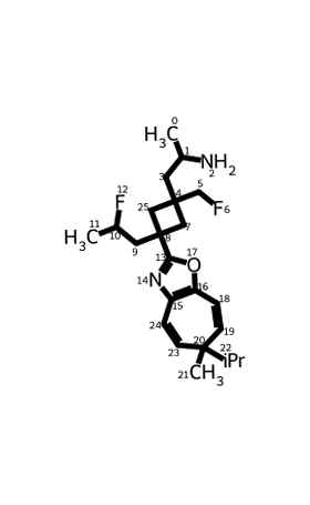 CC(N)CC1(CF)CC(CC(C)F)(c2nc3c(o2)C=CC(C)(C(C)C)C=C3)C1